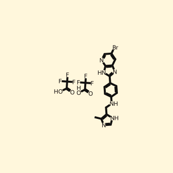 Cc1nc[nH]c1CNc1ccc(-c2nc3cc(Br)cnc3[nH]2)cc1.O=C(O)C(F)(F)F.O=C(O)C(F)(F)F